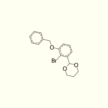 Brc1c(OCc2ccccc2)cccc1C1OCCCO1